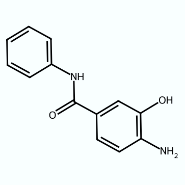 Nc1ccc(C(=O)Nc2ccccc2)cc1O